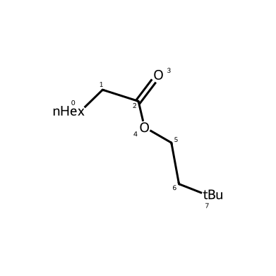 CCCCCCCC(=O)OCCC(C)(C)C